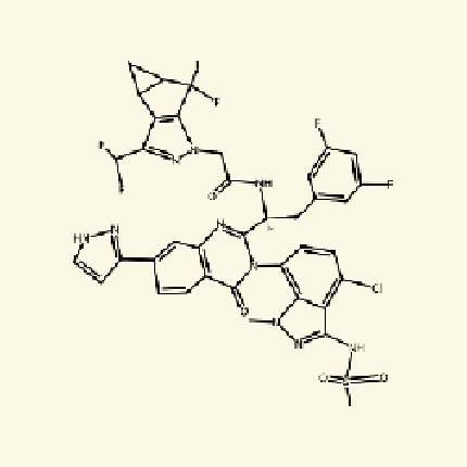 Cn1nc(NS(C)(=O)=O)c2c(Cl)ccc(-n3c([C@H](Cc4cc(F)cc(F)c4)NC(=O)Cn4nc(C(F)F)c5c4C(F)(F)C4CC54)nc4cc(-c5cc[nH]n5)ccc4c3=O)c21